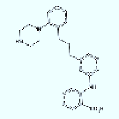 O=C(O)c1ccccc1Nc1cccc(CCCc2ccccc2N2CCNCC2)c1